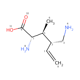 C=C[C@@H](CN)[C@H](C)[C@H](N)C(=O)O